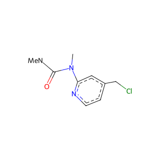 CNC(=O)N(C)c1cc(CCl)ccn1